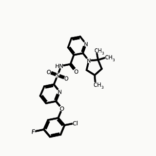 CC1CN(c2ncccc2C(=O)NS(=O)(=O)c2cccc(Oc3cc(F)ccc3Cl)n2)C(C)(C)C1